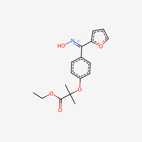 CCOC(=O)C(C)(C)Oc1ccc(/C(=N\O)c2ccco2)cc1